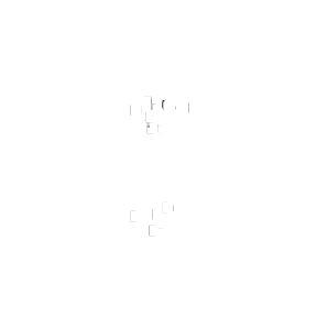 CCP(C)(CC)(CC)CCCCCCCCC(P(O)O)P(C)(CC)(CC)CC